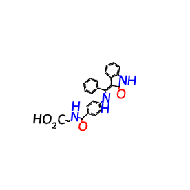 O=C(O)CNC(=O)c1ccc(N/C(=C2\C(=O)Nc3ccccc32)c2ccccc2)cc1